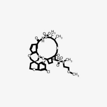 COCCN(C)S(=O)(=O)C[C@@]1(O)CCC[C@H](C)[C@@H](C)S(=O)(=O)NC(=O)c2ccc3c(c2)N(C[C@@H]2CC[C@H]21)C[C@@]1(CCCc2cc(Cl)ccc21)CO3